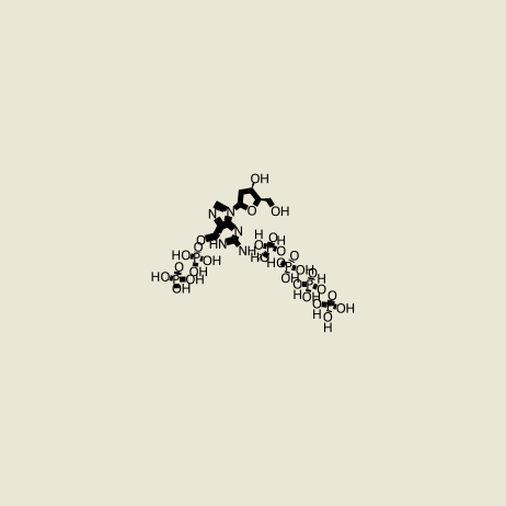 Nc1nc2c(ncn2C2C[C@H](O)[C@@H](CO)O2)c(=O)[nH]1.O=P(O)(O)O.O=P(O)(O)O.O=P(O)(O)O.O=P(O)(O)O.O=P(O)(O)O.O=P(O)(O)O